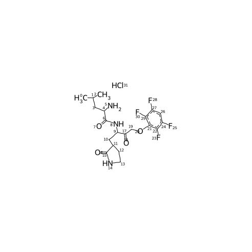 CC(C)CC(N)C(=O)NC(CC1CCNC1=O)C(=O)COc1c(F)c(F)cc(F)c1F.Cl